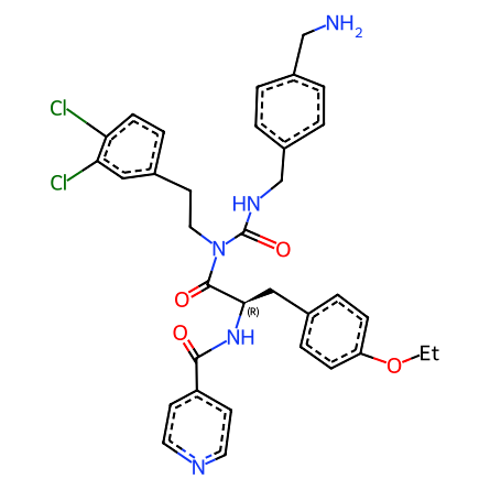 CCOc1ccc(C[C@@H](NC(=O)c2ccncc2)C(=O)N(CCc2ccc(Cl)c(Cl)c2)C(=O)NCc2ccc(CN)cc2)cc1